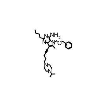 CCCCc1nc(N)c2c(n1)c(C#CCCCN1CCN(C(C)C)CC1)c(C)n2COCc1ccccc1